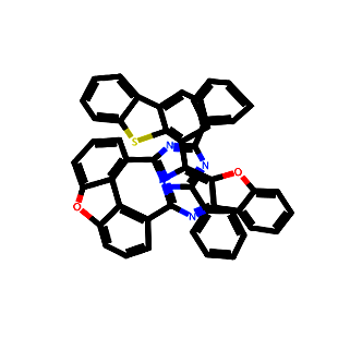 c1ccc(-c2nc(-c3ccccc3)nc(-c3cccc4oc5cccc(-c6nc(-c7cccc8c7sc7ccccc78)c7oc8ccccc8c7n6)c5c34)n2)cc1